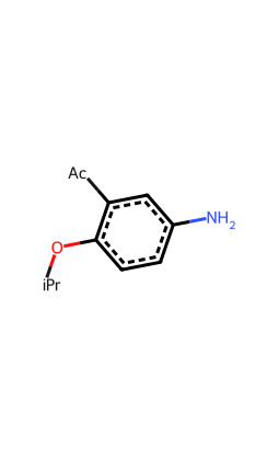 CC(=O)c1cc(N)ccc1OC(C)C